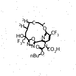 [2H]C1CC[C@@H](C)Oc2nc(c(N(C(=O)O)C(=O)OCCCC)cc2C(F)(F)F)-c2nnc(o2)[C@@](O)(C(F)(F)F)CC1[2H]